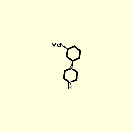 CN[C@H]1CCC[C@@H](N2CCNCC2)C1